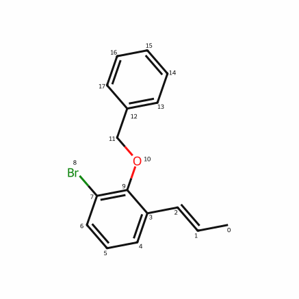 C/C=C/c1cccc(Br)c1OCc1ccccc1